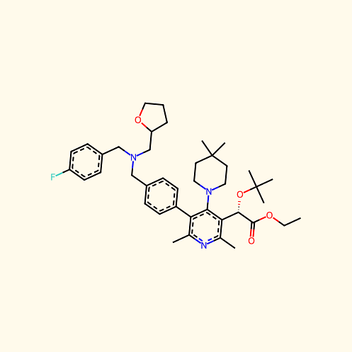 CCOC(=O)[C@@H](OC(C)(C)C)c1c(C)nc(C)c(-c2ccc(CN(Cc3ccc(F)cc3)CC3CCCO3)cc2)c1N1CCC(C)(C)CC1